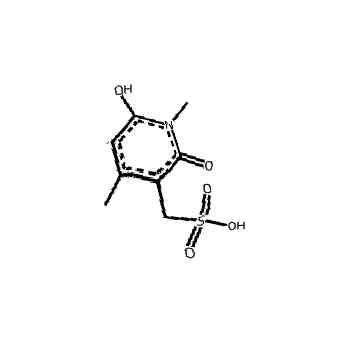 Cc1[c]c(O)n(C)c(=O)c1CS(=O)(=O)O